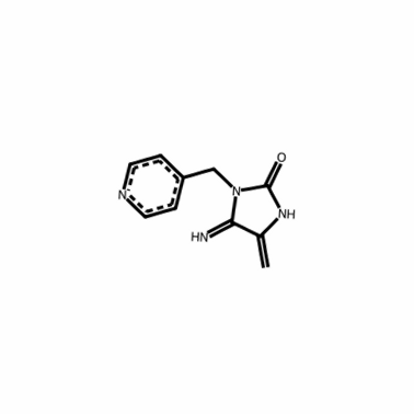 C=C1NC(=O)N(Cc2ccncc2)C1=N